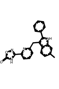 Cc1ccc2c(Cc3cccc(-c4noc(=O)[nH]4)n3)c(-c3ccccc3)[nH]c2c1